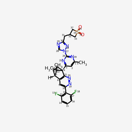 Cc1cc([C@@]23CC[C@@H](c4cc(-c5c(F)cccc5F)nnc42)C3(C)C)nc(-n2cnc(CC3CS(=O)(=O)C3)n2)n1